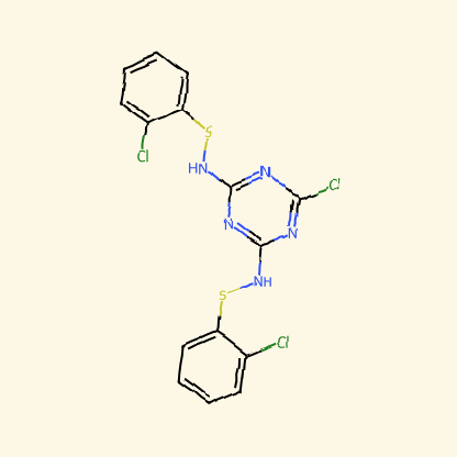 Clc1nc(NSc2ccccc2Cl)nc(NSc2ccccc2Cl)n1